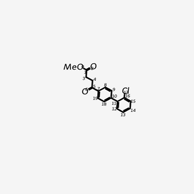 COC(=O)CCC(=O)c1ccc(-c2ccccc2Cl)cc1